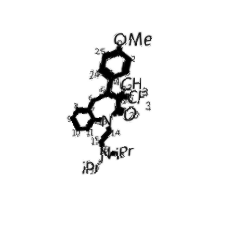 COc1ccc(C2Cc3ccccc3N(CCN(C(C)C)C(C)C)C(=O)C2(C)C(F)(F)F)cc1